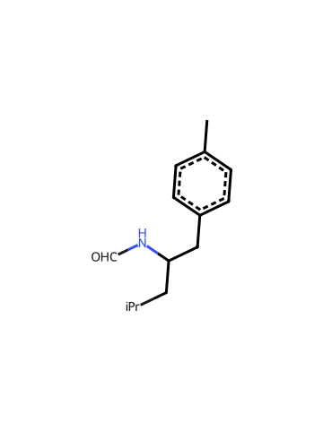 Cc1ccc(CC(CC(C)C)NC=O)cc1